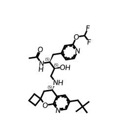 CC(=O)N[C@@H](Cc1ccnc(OC(F)F)c1)[C@@H](O)CN[C@H]1CC2(CCC2)Oc2ncc(CC(C)(C)C)cc21